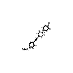 COc1ccc(C#CC2CCC(c3ccc(C)cc3)CC2)cc1